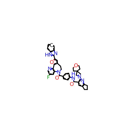 O=C(Nc1ccc(C(=O)N2CCc3cc(-c4nc5ccccc5[nH]4)oc3-c3ncc(F)cc32)cc1)c1cc2c(nc1N1CC3(CCOCC3)C1)CCC2